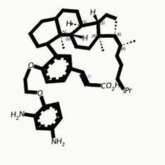 CC(C)CCC[C@@H](C)[C@H]1CC[C@H]2[C@@H]3CCC4CCCC(c5cc(/C=C/C(=O)O)ccc5OCCOc5ccc(N)cc5N)[C@]4(C)[C@H]3CC[C@]12C